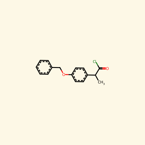 CC(C(=O)Cl)c1ccc(OCc2ccccc2)cc1